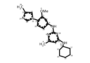 COc1cc(Nc2nc(C)cc(NC3CCCCC3)n2)ccc1-n1cnc(C)c1